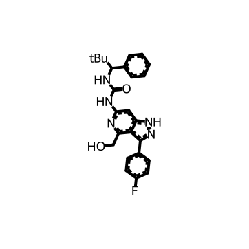 CC(C)(C)C(NC(=O)Nc1cc2[nH]nc(-c3ccc(F)cc3)c2c(CO)n1)c1ccccc1